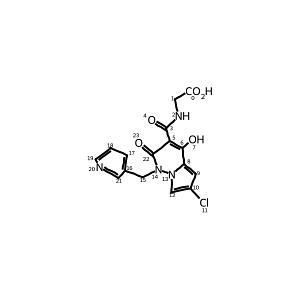 O=C(O)CNC(=O)c1c(O)c2cc(Cl)cn2n(Cc2cccnc2)c1=O